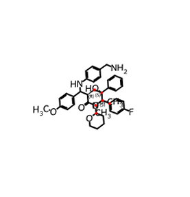 COc1ccc(C(Nc2ccc(CN)cc2)[C@@H](CC[C@H](OC2CCCCO2)c2ccc(F)cc2)C(=O)N(C)[C@@H](C)[C@@H](O)c2ccccc2)cc1